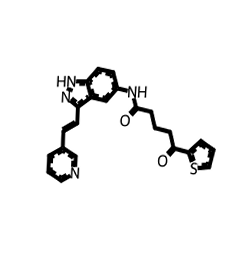 O=C(CCCC(=O)c1cccs1)Nc1ccc2[nH]nc(C=Cc3cccnc3)c2c1